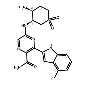 NC(=O)c1ncc(N[C@@H]2CS(=O)(=O)CC[C@@H]2N)nc1-c1cc2c(Cl)cccc2[nH]1